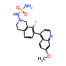 COc1ccc2c(-c3ccc4c(c3F)CN(NS(N)(=O)=O)CC4)ccnc2c1